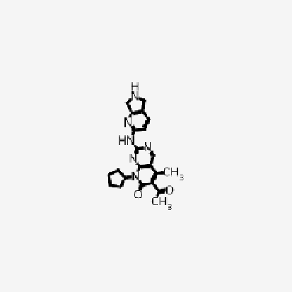 CC(=O)c1c(C)c2cnc(Nc3ccc4c(n3)CNC4)nc2n(C2CCCC2)c1=O